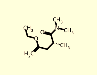 C=C(C[C@@H](C)C(=O)N(C)C)OCC